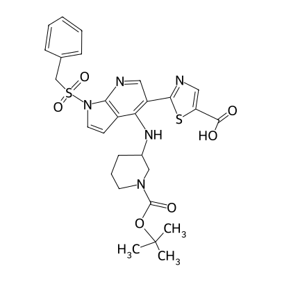 CC(C)(C)OC(=O)N1CCCC(Nc2c(-c3ncc(C(=O)O)s3)cnc3c2ccn3S(=O)(=O)Cc2ccccc2)C1